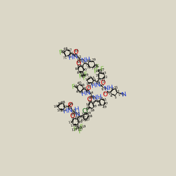 N#Cc1ccc(C(=O)NCC(=O)NC(c2ccccc2)c2cccc(C(F)(F)F)c2)cc1.O=C(CNC(=O)c1ccc(F)cc1)NC(c1ccccc1)c1ccc(Cl)cc1.O=C(CNC(=O)c1ccc(F)cc1)NC(c1ccccc1)c1cccc(C(F)(F)F)c1.O=C(CNC(=O)c1ccccc1)NC(c1ccccc1)c1cccc(C(F)(F)F)c1